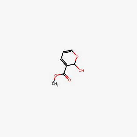 COC(=O)C1=CC=COC1O